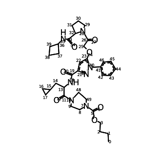 CCCCOC(=O)N1CCN(C(=O)C(CC2CC2)NC(=O)c2cc(OCC(=O)N3CCCC3C(=O)NC3CCC3)n(-c3ccccc3)n2)CC1